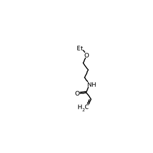 C=CC(=O)NCCCOCC